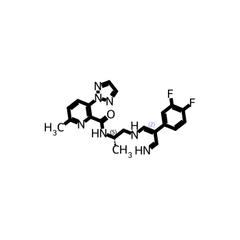 Cc1ccc(-n2nccn2)c(C(=O)N[C@@H](C)CN/C=C(\C=N)c2ccc(F)c(F)c2)n1